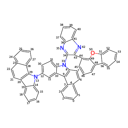 c1ccc2c(c1)ccc1c2c2cc(-n3c4ccccc4c4ccc5ccccc5c43)ccc2n1-c1nc2ccccc2nc1-c1cccc2c1oc1ccccc12